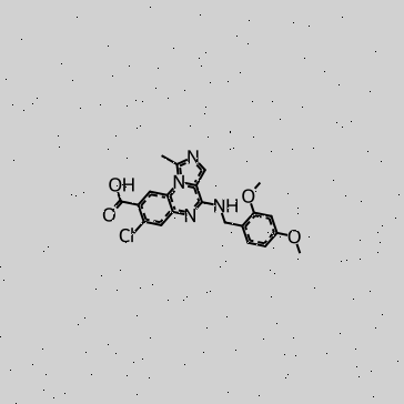 COc1ccc(CNc2nc3cc(Cl)c(C(=O)O)cc3n3c(C)ncc23)c(OC)c1